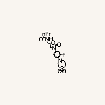 CCCC(=O)NCC1CN(c2ccc(N3CCCS(=O)(=O)CC3)c(F)c2)C(=O)O1